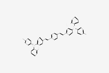 CCc1ccccc1N(c1ccc(C)cc1)c1ccc(C=Cc2ccc(C=Cc3ccc(N(c4ccc(C)cc4)c4ccccc4CC)cc3)cc2)cc1